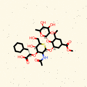 CCC1CC(C(=O)OC)C[C@@H](O[C@@H]2SC(CO)[C@H](O)C(O[C@@H](CC3CCCCC3)C(=O)O)C2NC(C)=O)C1O[C@@H]1OC(C)[C@@H](O)C(O)C1O